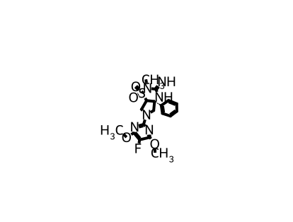 COc1nc(N2CC3[C@](c4ccccc4)(C2)NC(=N)N(C)S3(=O)=O)nc(OC)c1F